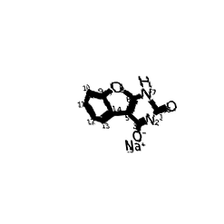 O=c1nc([O-])c2c([nH]1)oc1ccccc12.[Na+]